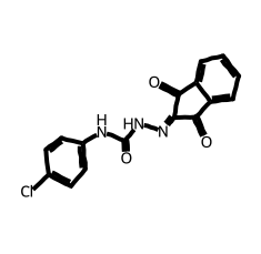 O=C(NN=c1c(=O)c2ccccc2c1=O)Nc1ccc(Cl)cc1